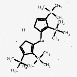 C[Si](C)(C)C1=CC[C]([Lu+][C]2=C([Si](C)(C)C)C([Si](C)(C)C)=CC2)=C1[Si](C)(C)C.[H-]